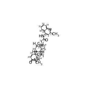 Cc1cc(NC(=O)C[C@H]2CC[C@H]3[C@@H]4CC[C@H]5N(C)C(=O)C=C[C@]5(C)[C@H]4CC[C@]23C)c2ccccc2n1